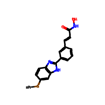 CCCSc1ccc2nc(-c3cccc(C=CC(=O)NO)c3)[nH]c2c1